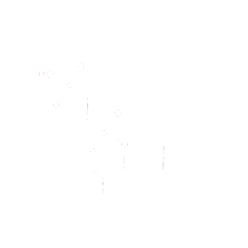 CC(C)CC(OS(=O)(=O)CCS(=O)(=O)O)C(C)C